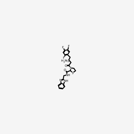 N[C@@H](CC(=O)N1CCSC1C(=O)NCc1nc2ccccc2[nH]1)Cc1cc(F)c(F)cc1F